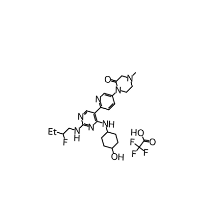 CCC(F)CNc1ncc(-c2ccc(N3CCN(C)CC3=O)cn2)c(NC2CCC(O)CC2)n1.O=C(O)C(F)(F)F